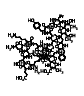 CSCC[C@H](NC(=O)[C@H](CO)NC(=O)[C@H](CCC(=O)O)NC(=O)[C@@H](N)CCSC)C(=O)N[C@@H](CC(N)=O)C(=O)N[C@@H](CCCCN)C(=O)NCC(=O)N[C@H](C(=O)N[C@@H](CC(=O)O)C(=O)N[C@@H](CO)C(=O)N[C@@H](Cc1ccc(O)cc1)C(=O)NCC(=O)N[C@H](C(=O)N[C@H](C(=O)N[C@H](C(=O)NCC(=O)N[C@@H](Cc1ccccc1)C(=O)NCC(=O)N[C@@H](C)C(=O)N[C@H](C(=O)O)[C@@H](C)O)[C@@H](C)O)[C@@H](C)O)C(C)C)[C@@H](C)O